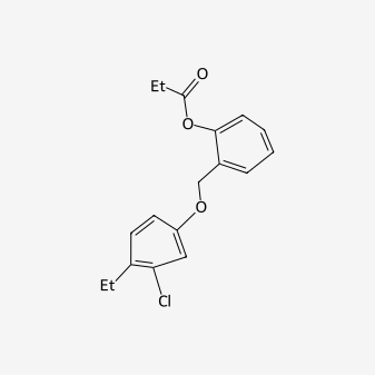 CCC(=O)Oc1ccccc1COc1ccc(CC)c(Cl)c1